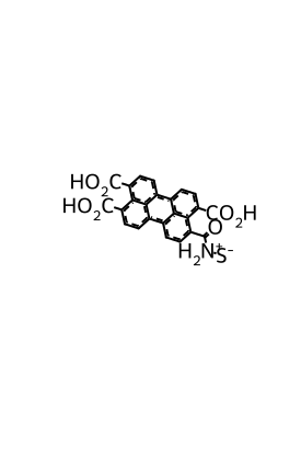 O=C(O)c1ccc2c3ccc(C(=O)O)c4c(C(=O)[NH2+][S-])ccc(c5ccc(C(=O)O)c1c25)c43